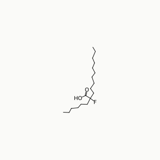 CCCCCCCCCCC(F)(CCCCCC)C(=O)O